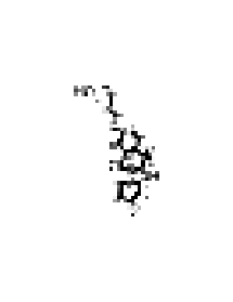 CC1(C)c2ccc(OCCCC(=O)O)cc2C(=O)c2c1[nH]c1cc(Br)ccc21